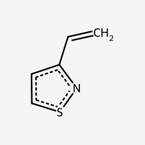 C=Cc1ccsn1